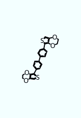 c1cc(-c2scc3c2OCCO3)ccc1-c1ccc(-c2scc3c2OCCO3)cc1